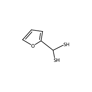 SC(S)c1ccco1